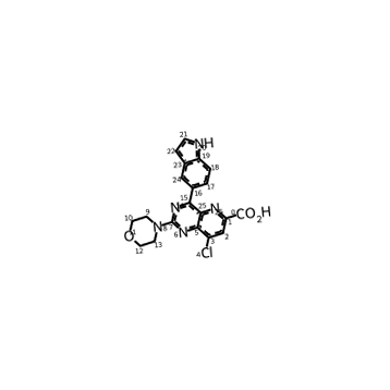 O=C(O)c1cc(Cl)c2nc(N3CCOCC3)nc(-c3ccc4[nH]ccc4c3)c2n1